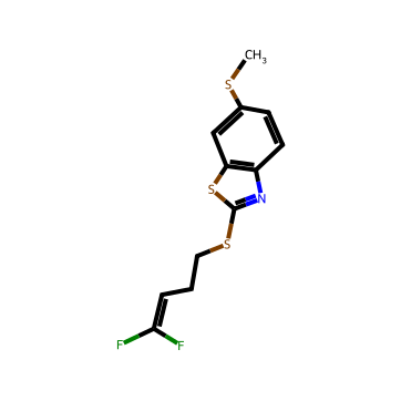 CSc1ccc2nc(SCCC=C(F)F)sc2c1